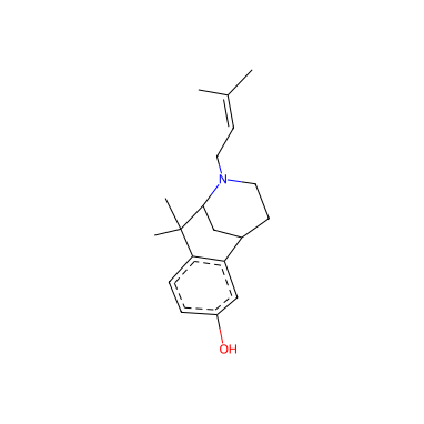 CC(C)=CCN1CCC2CC1C(C)(C)c1ccc(O)cc12